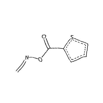 C=NOC(=O)c1cccs1